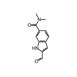 CN(C)C(=O)c1ccc2cc(C=O)[nH]c2c1